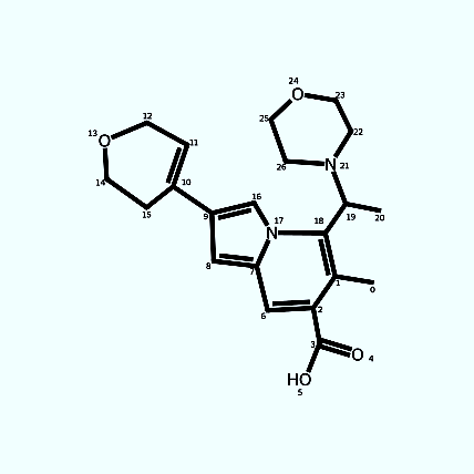 Cc1c(C(=O)O)cc2cc(C3=CCOCC3)cn2c1C(C)N1CCOCC1